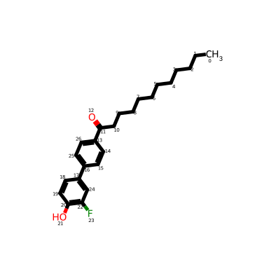 CCCCCCCCCCCC(=O)c1ccc(-c2ccc(O)c(F)c2)cc1